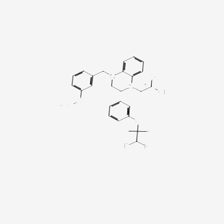 O[C@H](CN1c2ccccc2N(Cc2cccc(OC(F)(F)F)c2)C[C@H]1c1cccc(OC(F)(F)C(F)F)c1)C(F)(F)F